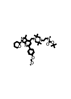 COCOc1ccc(-c2cc(CN3CC(C)(C)N(CCN(C)C(=O)OC(C)(C)C)CC3(C)C)c3c(C)nn(C4CCCCO4)c3n2)cc1